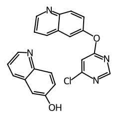 Clc1cc(Oc2ccc3ncccc3c2)ncn1.Oc1ccc2ncccc2c1